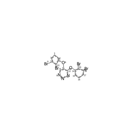 Brc1cccc(Oc2cnnnc2Oc2cccc(Br)c2Br)c1Br